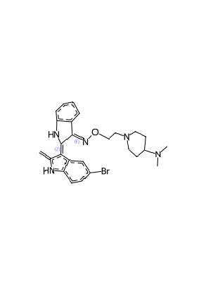 C=c1[nH]c2ccc(Br)cc2/c1=C1/Nc2ccccc2/C1=N\OCCN1CCC(N(C)C)CC1